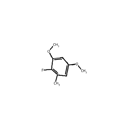 COc1cc(C)c(F)c(OC)c1